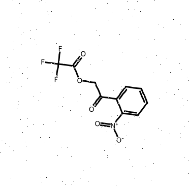 O=C(COC(=O)C(F)(F)F)c1ccccc1[N+](=O)[O-]